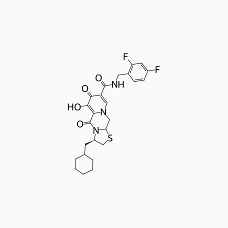 O=C(NCc1ccc(F)cc1F)c1cn2c(c(O)c1=O)C(=O)N1C(C2)SC[C@H]1CC1CCCCC1